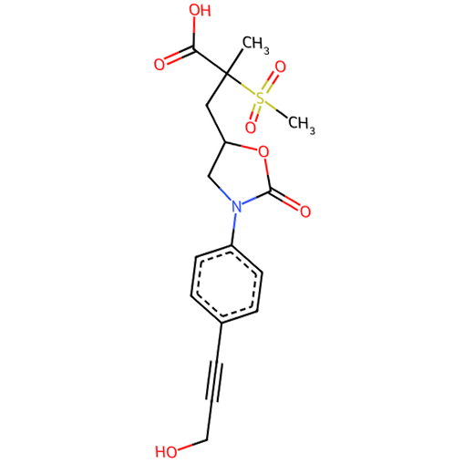 CC(CC1CN(c2ccc(C#CCO)cc2)C(=O)O1)(C(=O)O)S(C)(=O)=O